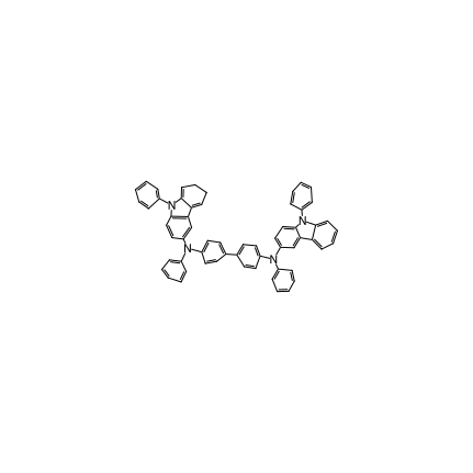 C1=c2c(n(-c3ccccc3)c3ccc(N(c4ccccc4)c4ccc(-c5ccc(N(c6ccccc6)c6ccc7c(c6)c6ccccc6n7-c6ccccc6)cc5)cc4)cc23)=CCC1